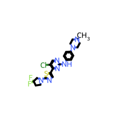 CN1CCN(c2ccc(Nc3ncc(Cl)c(-c4cnc(N5CCC(F)(F)C5)s4)n3)cc2)CC1